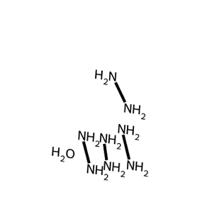 NN.NN.NN.NN.O